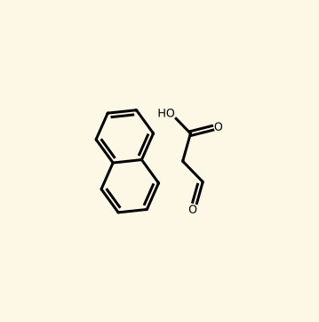 O=CCC(=O)O.c1ccc2ccccc2c1